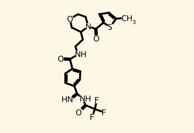 Cc1ccc(C(=O)N2CCOCC2CCNC(=O)c2ccc(C(=N)NC(=O)C(F)(F)F)cc2)s1